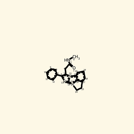 CNC(=O)Cc1c(-c2ccccc2)nc2n3c4c(cccc4n12)CC3